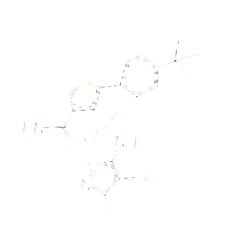 Cc1noc(NS(=O)(=O)c2c(C(N)=O)csc2-c2ccc(C(C)(C)C)cc2)c1Br